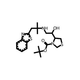 CC(C)(Cc1nc2ccccc2s1)NCC(O)C1CSCN1C(=O)OC(C)(C)C